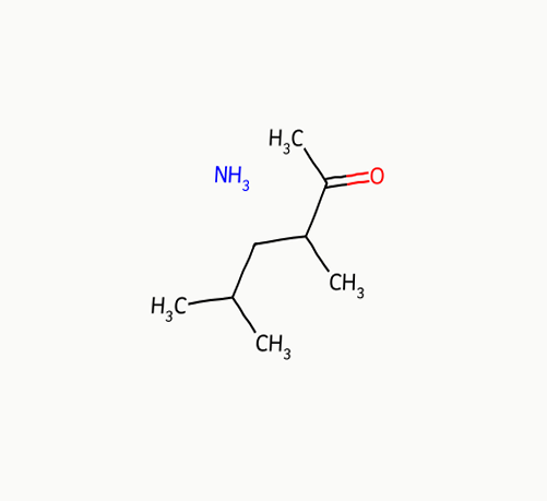 CC(=O)C(C)CC(C)C.N